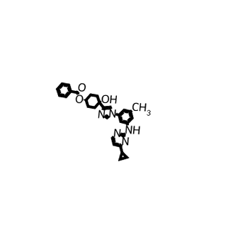 Cc1cc(Nc2nccc(C3CC3)n2)cc(-n2cnc([C@]3(O)CC[C@H](OC(=O)c4ccccc4)CC3)c2)c1